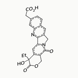 CCC1(O)C(=O)OCc2c1cc1n(c2=O)Cc2cc3ccc(CC(=O)O)cc3nc2-1